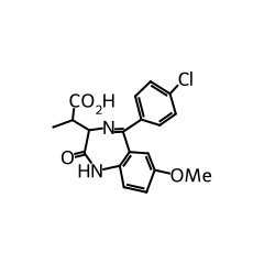 COc1ccc2c(c1)C(c1ccc(Cl)cc1)=NC(C(C)C(=O)O)C(=O)N2